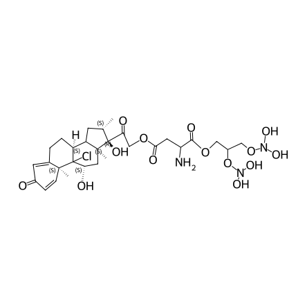 C[C@H]1CC2[C@@H]3CCC4=CC(=O)C=C[C@]4(C)C3(Cl)[C@@H](O)C[C@]2(C)[C@@]1(O)C(=O)COC(=O)CC(N)C(=O)OCC(CON(O)O)ON(O)O